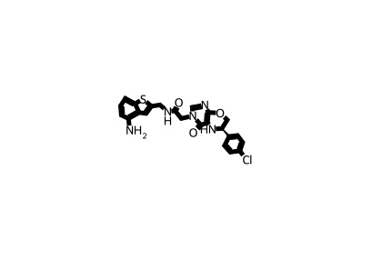 Nc1cccc2sc(CNC(=O)Cn3cnc4c(c3=O)N[C@H](c3ccc(Cl)cc3)CO4)cc12